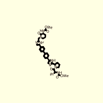 COC(=O)NC(C(=O)N1CCCC1c1ncc(-c2ccc(-c3ccc(-c4cnc(CN5CCC[C@H](NC(=O)OC)C5=O)[nH]4)cc3)cc2)[nH]1)C(C)C